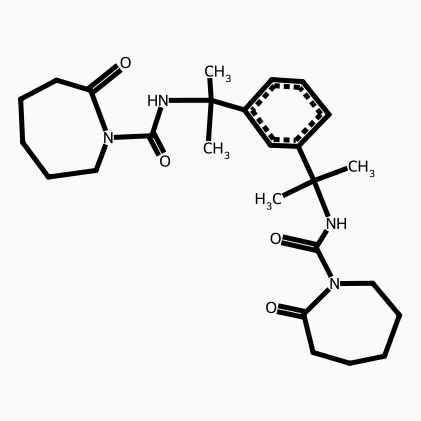 CC(C)(NC(=O)N1CCCCCC1=O)c1cccc(C(C)(C)NC(=O)N2CCCCCC2=O)c1